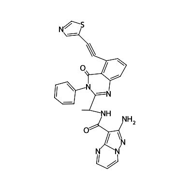 CC(NC(=O)c1c(N)nn2cccnc12)c1nc2cccc(C#Cc3cncs3)c2c(=O)n1-c1ccccc1